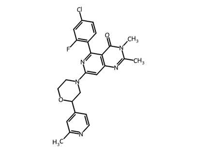 Cc1cc(C2CN(c3cc4nc(C)n(C)c(=O)c4c(-c4ccc(Cl)cc4F)n3)CCO2)ccn1